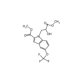 COC(=O)c1cc2cc(OC(F)(F)F)ccc2n1CC(O)C(=O)OC